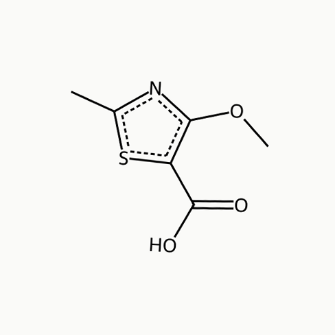 COc1nc(C)sc1C(=O)O